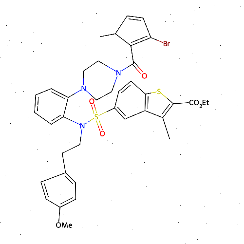 CCOC(=O)c1sc2ccc(S(=O)(=O)N(CCc3ccc(OC)cc3)c3ccccc3N3CCN(C(=O)C4=C(Br)C=CC4C)CC3)cc2c1C